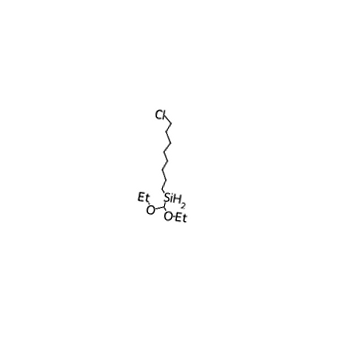 CCOC(OCC)[SiH2]CCCCCCCCCl